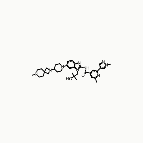 Cc1cc(C(=O)Nc2nc3ccc(N4CCC(N5CC6(CCN(C)CC6)C5)CC4)cc3n2CC(C)(C)O)cc(-c2cnn(C)c2)n1